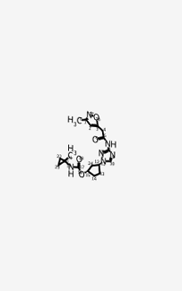 Cc1cc(CC(=O)Nc2ncn([C@H]3CC[C@@H](OC(=O)NC4(C)CC4)C3)n2)on1